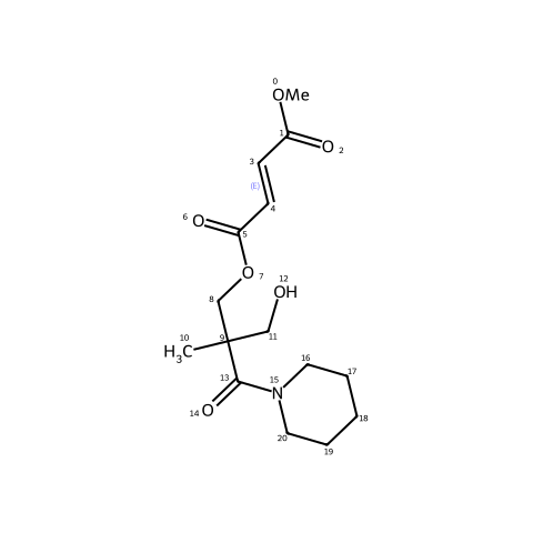 COC(=O)/C=C/C(=O)OCC(C)(CO)C(=O)N1CCCCC1